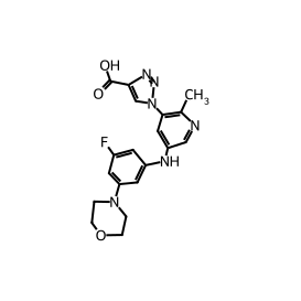 Cc1ncc(Nc2cc(F)cc(N3CCOCC3)c2)cc1-n1cc(C(=O)O)nn1